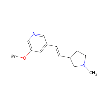 CC(C)Oc1cncc(C=CC2CCN(C)C2)c1